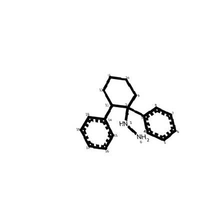 NNC1(c2ccccc2)CCCCC1c1ccccc1